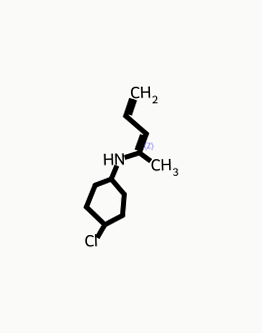 C=C/C=C(/C)NC1CCC(Cl)CC1